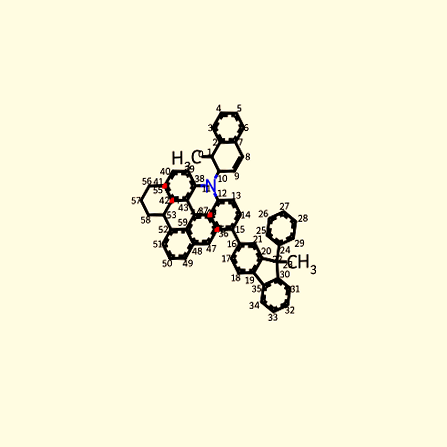 CC1c2ccccc2C=CC1N(c1ccc(-c2ccc3c(c2)C(C)(c2ccccc2)c2ccccc2-3)cc1)c1ccccc1-c1cccc2cccc(C3CCCCC3)c12